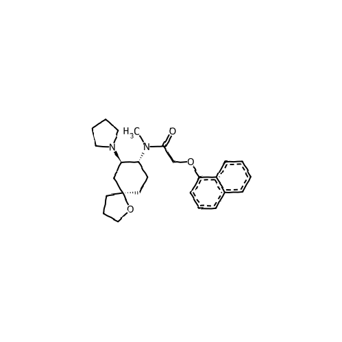 CN(C(=O)COc1cccc2ccccc12)[C@@H]1CC[C@]2(CCCO2)C[C@H]1N1CCCC1